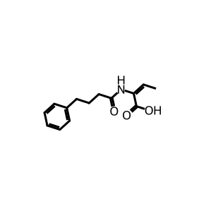 CC=C(NC(=O)CCCc1ccccc1)C(=O)O